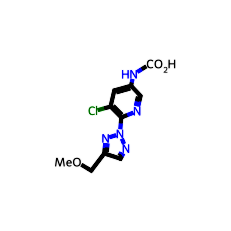 COCc1cnn(-c2ncc(NC(=O)O)cc2Cl)n1